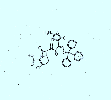 Nc1nc(/C(=N/OC(c2ccccc2)(c2ccccc2)c2ccccc2)C(=O)N[C@@H]2C(=O)N3C(C(=O)O)=C(Cl)CCC23)c(Cl)s1